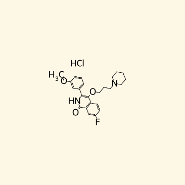 COc1cccc(-c2[nH]c(=O)c3cc(F)ccc3c2OCCCN2CCCCC2)c1.Cl